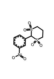 O=[N+]([O-])c1cccc(C2S(=O)(=O)CCCS2(=O)=O)c1